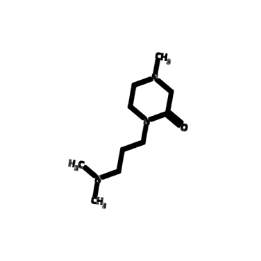 CN(C)CCCN1CCN(C)CC1=O